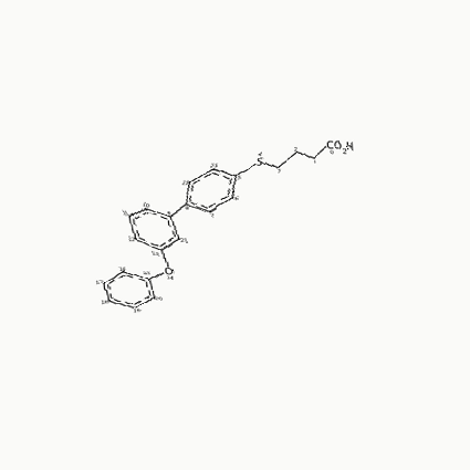 O=C(O)CCCSc1ccc(-c2cccc(Oc3ccccc3)c2)cc1